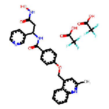 Cc1cc(COc2ccc(C(=O)NC(CC(=O)NO)c3cccnc3)cc2)c2ccccc2n1.O=C(O)C(F)(F)F.O=C(O)C(F)(F)F